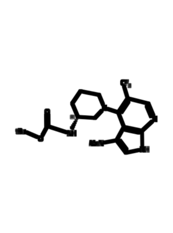 CNc1c[nH]c2ncc(C(F)(F)F)c(N3CCC[C@@H](NC(=O)OC(C)(C)C)C3)c12